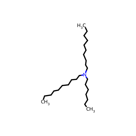 CCCCCCCCCCN(CCCCCCC)CCCCCCCCCC